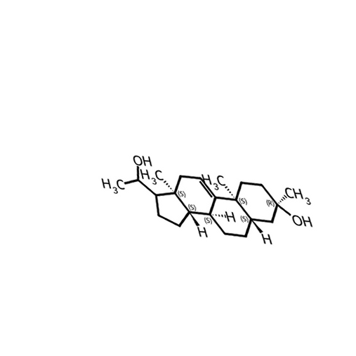 CC(O)C1CC[C@H]2[C@@H]3CC[C@H]4C[C@](C)(O)CC[C@]4(C)C3=CC[C@]12C